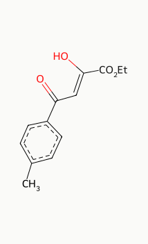 CCOC(=O)C(O)=CC(=O)c1ccc(C)cc1